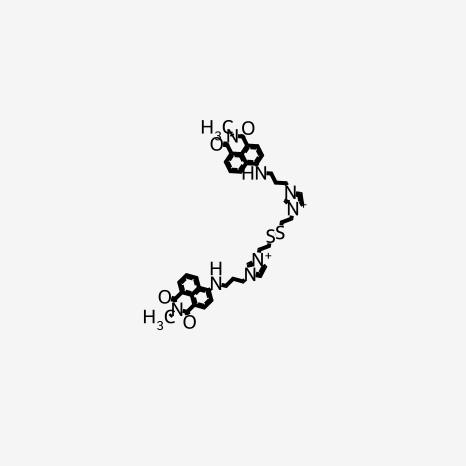 CN1C(=O)c2cccc3c(NCCCn4cc[n+](CCSSCC[n+]5ccn(CCCNc6ccc7c8c(cccc68)C(=O)N(C)C7=O)c5)c4)ccc(c23)C1=O